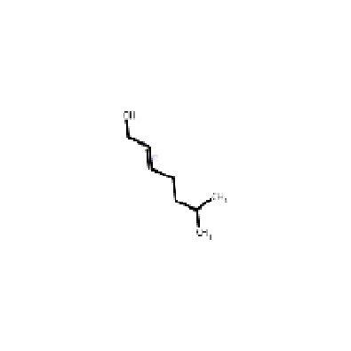 CC/C=C/CCC(C)C